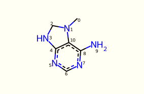 CN1CNc2ncnc(N)c21